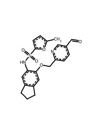 Cc1ccc(S(=O)(=O)Nc2cc3c(cc2OCc2ccc(C=O)cn2)CCC3)o1